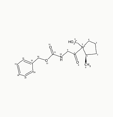 C[C@@H]1CCC[N+]1(C(=O)O)C(=O)CNC(=O)OCc1ccccc1